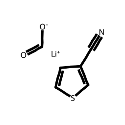 N#Cc1ccsc1.O=C[O-].[Li+]